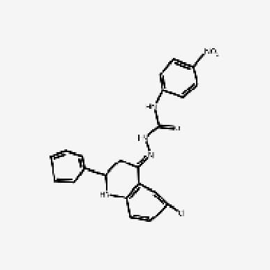 O=C(NN=C1CC(c2ccccc2)Nc2ccc(Cl)cc21)Nc1ccc([N+](=O)[O-])cc1